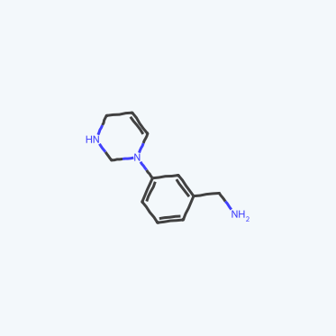 NCc1cccc(N2C=CCNC2)c1